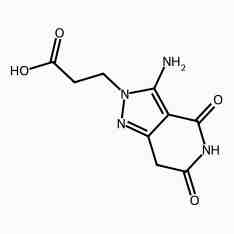 Nc1c2c(nn1CCC(=O)O)CC(=O)NC2=O